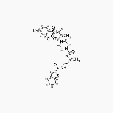 CC(CCNC(=O)c1cc2ccccc2s1)CC(=O)N1CCN(C(=O)[C@@]2(C)CN2S(=O)(=O)c2ccc(Cl)cc2Cl)CC1